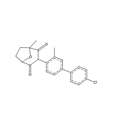 Cc1cc(-c2ccc(Cl)cc2)ccc1C1C(=O)C2CCC(C)(O2)C1=O